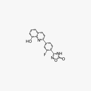 O=c1[nH]c(-c2ccc(-c3ccc4cccc(O)c4n3)cc2F)no1